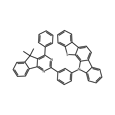 CC1(C)c2ccccc2-c2nc(-c3cccc(-n4c5ccccc5c5ccc6c7ccccc7sc6c54)c3)nc(-c3ccccc3)c21